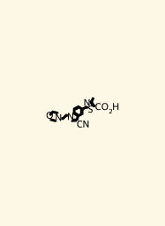 Cc1nc(-c2ccc3c(c2)c(C#N)cn3CCN2CCOCC2)sc1C(=O)O